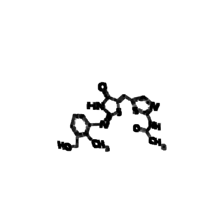 CC(=O)Nc1ncc(C=C2SC(=Nc3cccc(CO)c3C)NC2=O)s1